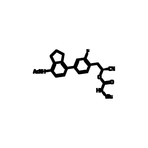 CC(=O)Nc1ccc(-c2ccc(C[C@@H](C#N)OC(=O)NC(C)(C)C)c(F)c2)c2c1CCC2